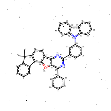 CC1(C)c2ccccc2-c2c1ccc1c2oc2c(-c3ccccc3)nc(-c3cccc(-n4c5ccccc5c5ccccc54)c3)nc21